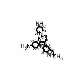 Cn1cc2cc(-c3cnc(N4CCC(N)CC4)nc3C3(C)C=CC(N)=CC3)ccc2n1